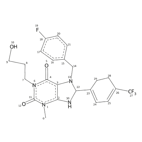 Cn1c2c(c(=O)n(CCCO)c1=O)N(Cc1ccc(F)cc1)C(C1=CC=C(C(F)(F)F)CC1)N2